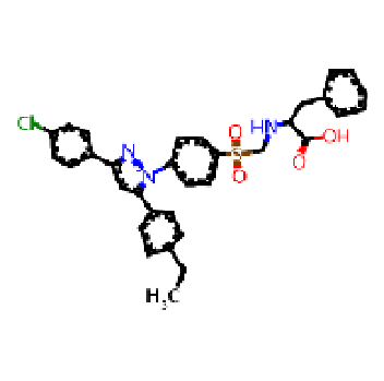 CCc1ccc(-c2cc(-c3ccc(Cl)cc3)nn2-c2ccc(S(=O)(=O)CNC(Cc3ccccc3)C(=O)O)cc2)cc1